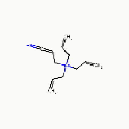 C=CC[N+](CC=C)(CC=C)CC=C=N